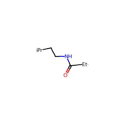 C[CH]C(=O)NCCC(C)C